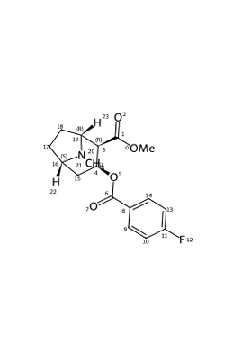 COC(=O)[C@H]1[C@@H](OC(=O)c2ccc(F)cc2)C[C@@H]2CC[C@H]1N2C